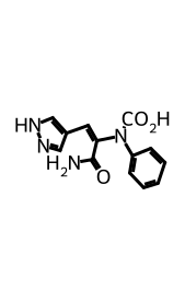 NC(=O)C(=Cc1cn[nH]c1)N(C(=O)O)c1ccccc1